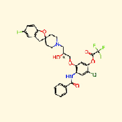 O=C(Nc1cc(Cl)c(OC(=O)C(F)(F)F)cc1OC[C@@H](O)CN1CCC2(CC1)Cc1cc(F)ccc1O2)c1ccccc1